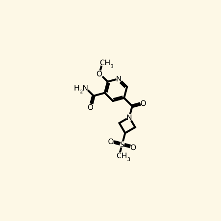 COc1ncc(C(=O)N2CC(S(C)(=O)=O)C2)cc1C(N)=O